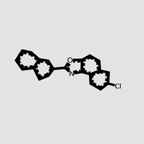 Clc1ccc2c(ccc3oc(-c4ccc5ccccc5c4)nc32)c1